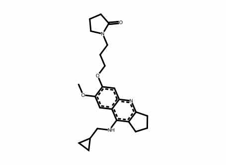 COc1cc2c(NCC3CC3)c3c(nc2cc1OCCCN1CCCC1=O)CCC3